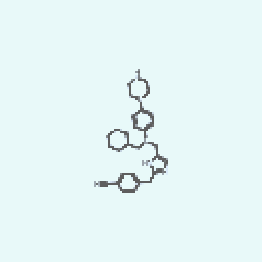 N#Cc1ccc(Cc2ncc(CN(CC3CCCCC3)c3ccc(N4CCNCC4)cc3)[nH]2)cc1